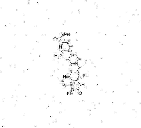 CCN1C(=O)Nc2c(F)c(CN3CCN(c4ccc(C(=O)NC)nc4C)CC3)cc3ncnc1c23